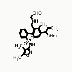 C=CC(CCCCCC)c1ccc(-c2ccccc2S(=O)(=O)Nc2noc(C)c2C)c(CNCC=O)c1C